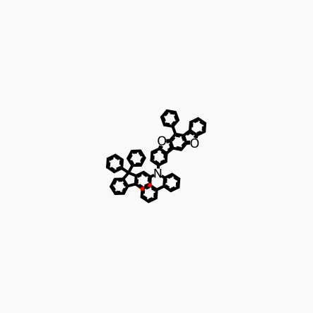 c1ccc(-c2ccccc2N(c2ccc3c(c2)C(c2ccccc2)(c2ccccc2)c2ccccc2-3)c2ccc3oc4c(-c5ccccc5)c5c(cc4c3c2)oc2ccccc25)cc1